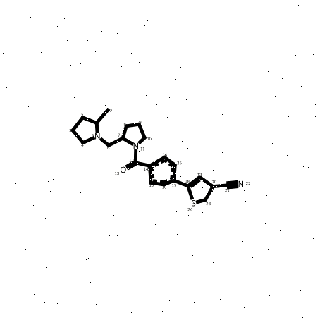 CC1CCCN1CC1CCCN1C(=O)c1ccc(C2=CC(C#N)CS2)cc1